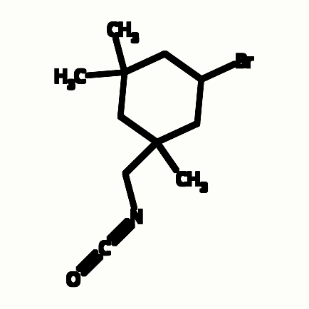 CC1(C)CC(Br)CC(C)(CN=C=O)C1